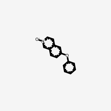 [O-][n+]1ccc2cc(Oc3ccccc3)ccc2c1